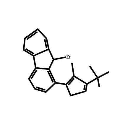 CC1=C(c2cccc3c2[CH]([Zr])c2ccccc2-3)CC=C1C(C)(C)C